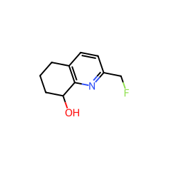 OC1CCCc2ccc(CF)nc21